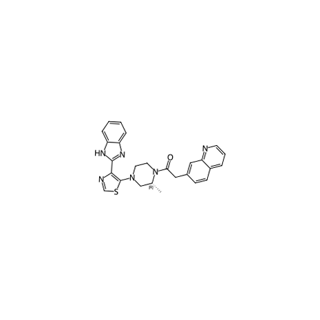 C[C@@H]1CN(c2scnc2-c2nc3ccccc3[nH]2)CCN1C(=O)Cc1ccc2cccnc2c1